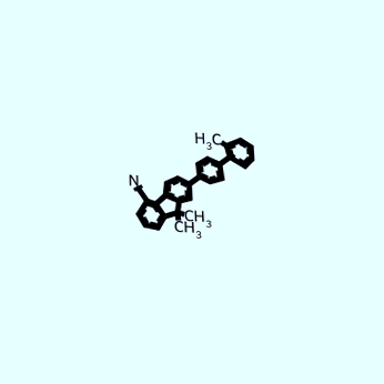 Cc1ccccc1-c1ccc(-c2ccc3c(c2)C(C)(C)c2cccc(C#N)c2-3)cc1